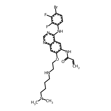 C=CC(=O)Nc1cc2c(Nc3ccc(Br)c(F)c3F)ncnc2cc1OCCNCCCCN(C)C